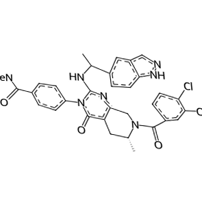 CNC(=O)c1ccc(-n2c(NC(C)c3ccc4[nH]ncc4c3)nc3c(c2=O)C[C@@H](C)N(C(=O)c2ccc(Cl)c(Cl)c2)C3)cc1